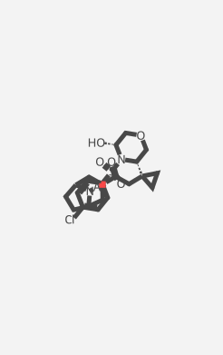 CC(=O)N1C2CCC1CN(C(=O)CC1([C@H]3COC[C@@H](O)N3S(=O)(=O)c3ccc(Cl)cc3)CC1)C2